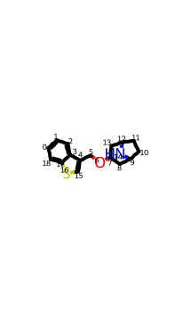 c1ccc2c(COC3CC4CCC(C3)N4)csc2c1